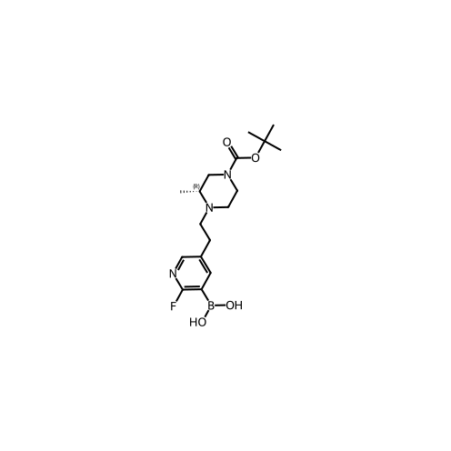 C[C@@H]1CN(C(=O)OC(C)(C)C)CCN1CCc1cnc(F)c(B(O)O)c1